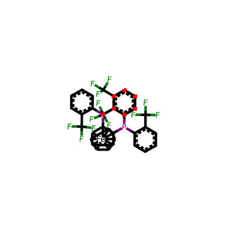 FC(F)(F)c1ccccc1P(c1ccccc1C(F)(F)F)[C]12[CH]3[CH]4[CH]5[C]1(P(c1ccccc1C(F)(F)F)c1ccccc1C(F)(F)F)[Fe]43521678[CH]2[CH]1[CH]6[CH]7[CH]28